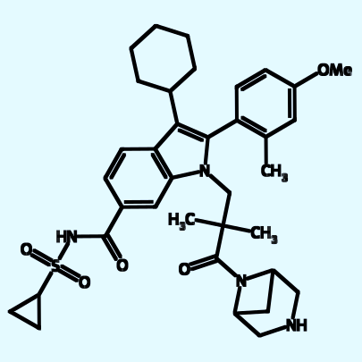 COc1ccc(-c2c(C3CCCCC3)c3ccc(C(=O)NS(=O)(=O)C4CC4)cc3n2CC(C)(C)C(=O)N2C3CNCC2C3)c(C)c1